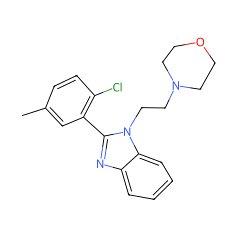 Cc1ccc(Cl)c(-c2nc3ccccc3n2CCN2CCOCC2)c1